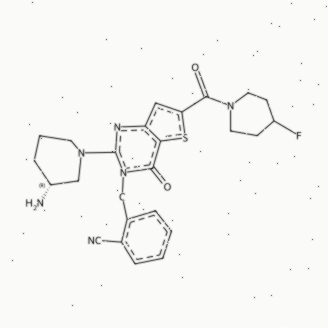 N#Cc1ccccc1Cn1c(N2CCC[C@@H](N)C2)nc2cc(C(=O)N3CCC(F)CC3)sc2c1=O